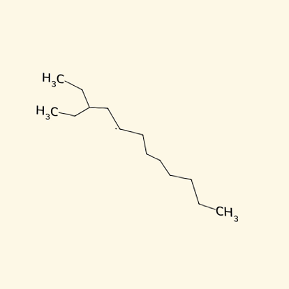 CCCCCCC[CH]CC(CC)CC